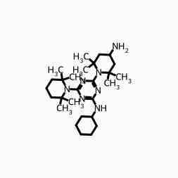 CC1(C)CCCC(C)(C)N1c1nc(NC2CCCCC2)nc(N2C(C)(C)CC(N)CC2(C)C)n1